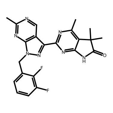 Cc1ncc2c(-c3nc(C)c4c(n3)NC(=O)C4(C)C)nn(Cc3cccc(F)c3F)c2n1